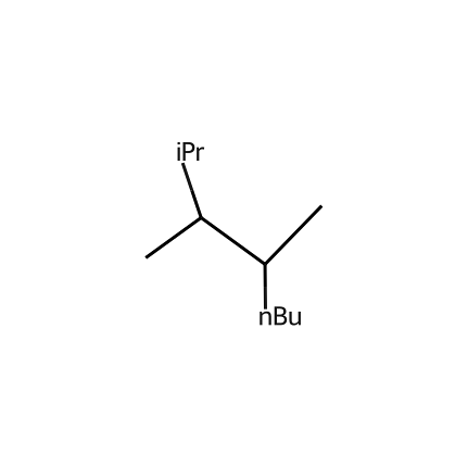 [CH2]CCCC(C)C(C)C(C)C